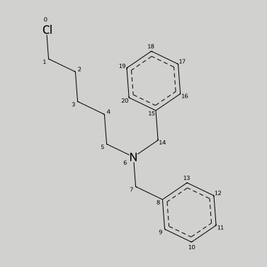 ClCCCCCN(Cc1ccccc1)Cc1ccccc1